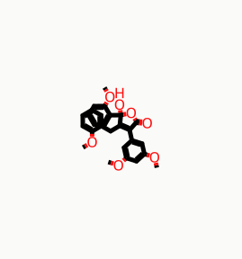 COc1cc(OC)cc(C2=C(Cc3ccccc3OC)C(O)(c3ccccc3OC)OC2=O)c1